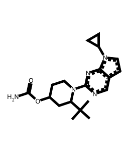 CC(C)(C)C1CC(OC(N)=O)CCN1c1ncc2ccn(C3CC3)c2n1